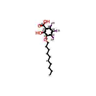 CCCCCCCCCCOc1c(O)c(C(=O)O)c(I)c(I)c1I